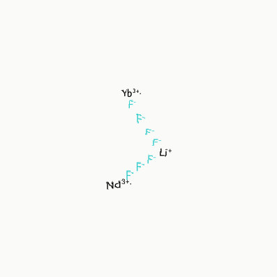 [F-].[F-].[F-].[F-].[F-].[F-].[F-].[Li+].[Nd+3].[Yb+3]